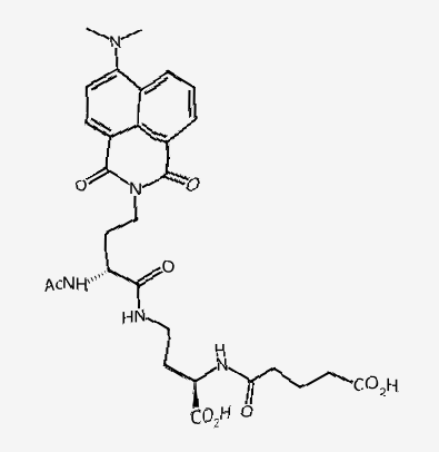 CC(=O)N[C@H](CCN1C(=O)c2cccc3c(N(C)C)ccc(c23)C1=O)C(=O)NCC[C@@H](NC(=O)CCCC(=O)O)C(=O)O